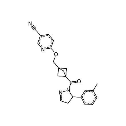 Cc1cccc(C2CC=NN2C(=O)C23CC(COc4ccc(C#N)cn4)(C2)C3)c1